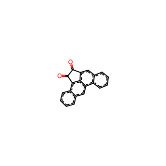 O=C1C(=O)c2c3ccccc3cc3c2c1cc1ccccc13